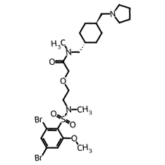 COc1cc(Br)cc(Br)c1S(=O)(=O)N(C)CCOCC(=O)N(C)C[C@H]1CC[C@H](CN2CCCC2)CC1